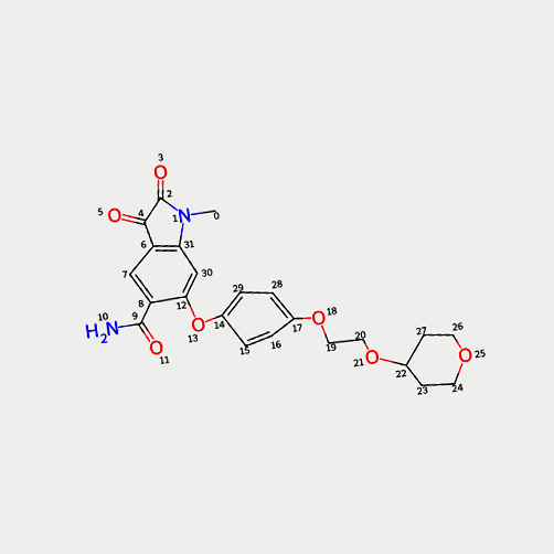 CN1C(=O)C(=O)c2cc(C(N)=O)c(Oc3ccc(OCCOC4CCOCC4)cc3)cc21